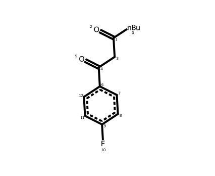 CCCCC(=O)CC(=O)c1ccc(F)cc1